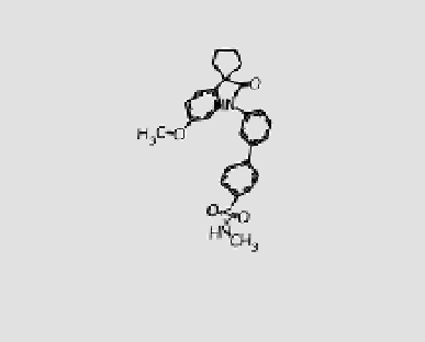 CNS(=O)(=O)c1ccc(-c2cccc(NC(=O)C3(c4ccc(OC)cc4)CCCC3)c2)cc1